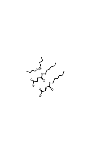 CCCCCCOC(=O)C=CC(=O)[O-].CCCCCCOC(=O)C=CC(=O)[O-].CCC[CH2][Sn+2][CH2]CCC